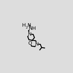 CC(C)CN1CCOC2(CCN(CNN)CC2)C1